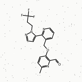 Cc1ccc(OCc2cccnc2-c2ccnn2CCC(F)(F)F)c(C=O)n1